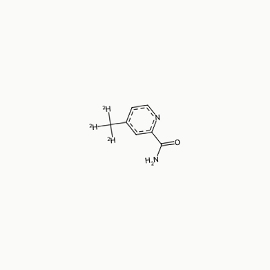 [2H]C([2H])([2H])c1ccnc(C(N)=O)c1